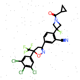 N#Cc1cc(C2=NOC(c3cc(Cl)c(Cl)c(Cl)c3)(C(F)(F)F)C2)ccc1C1(F)CN(C(=O)C2CC2)C1